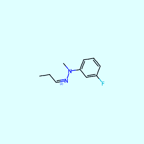 CC/C=N\N(C)c1cccc(F)c1